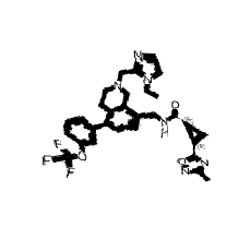 CCn1ccnc1CN1CCc2c(-c3cccc(OC(F)(F)F)c3)ccc(CNC(=O)[C@@H]3C[C@H]3c3nc(C)no3)c2C1